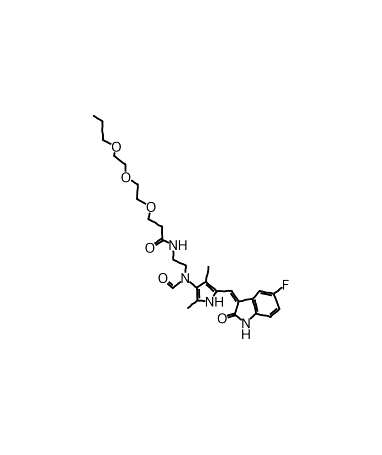 CCCOCCOCCOCCC(=O)NCCN(C=O)c1c(C)[nH]c(C=C2C(=O)Nc3ccc(F)cc32)c1C